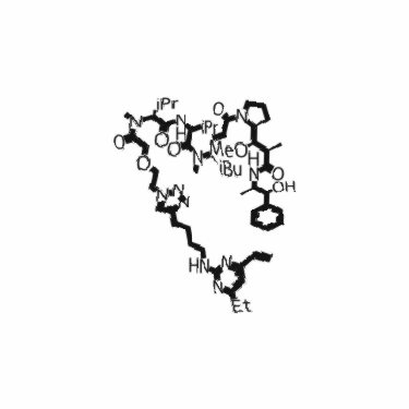 C=Cc1cc(CC)nc(NCCCCc2cn(CCOCC(=O)N(C)[C@H](C(=O)NC(C(=O)N(C)[C@H](CCC(=O)N3CCC[C@H]3[C@H](OC)[C@@H](C)C(=O)N[C@H](C)[C@@H](O)c3ccccc3)[C@@H](C)CC)C(C)C)C(C)C)nn2)n1